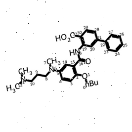 CCCCOc1ccc(N(C)CCCN(C)C)cc1C(=O)Nc1cc(-c2ccccc2)ccc1C(=O)O